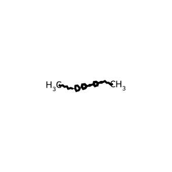 CCCCCC#Cc1ccc(C#Cc2ccc([C@H]3CC[C@H](CCCCCCCC)CC3)cc2)cc1